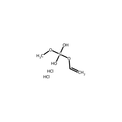 C=CO[Si](O)(O)OC.Cl.Cl